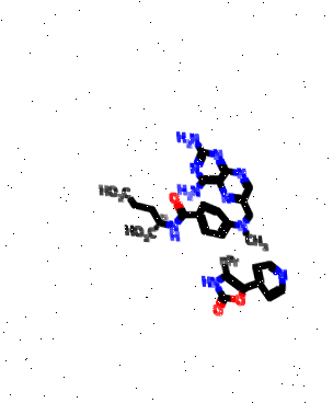 CCCc1[nH]c(=O)oc1-c1ccncc1.CN(Cc1cnc2nc(N)nc(N)c2n1)c1ccc(C(=O)N[C@@H](CCC(=O)O)C(=O)O)cc1